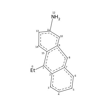 CCc1c2ccccc2cc2cc(N)ccc12